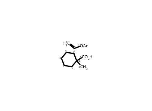 C=COC(C)=O.CC1(C(=O)O)CCCCC1